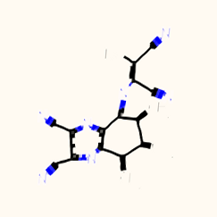 C=C1C(=C)/C(=N\C(C#N)=C(/C)C#N)c2nc(C#N)c(C#N)nc2C1=C